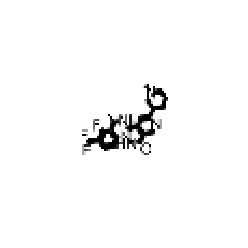 C[C@@H](Nc1n[nH]c(=O)c2cnc(C3CCCN(C)C3)cc12)c1cccc(C(F)F)c1F